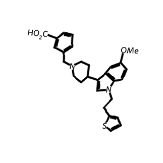 COc1ccc2c(c1)c(C1CCN(Cc3cccc(C(=O)O)c3)CC1)cn2CCc1cccs1